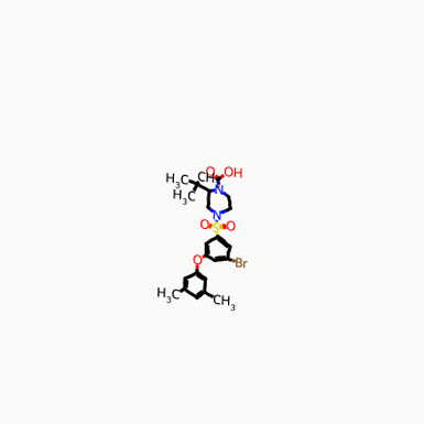 Cc1cc(C)cc(Oc2cc(Br)cc(S(=O)(=O)N3CCN(C(=O)O)C(C(C)(C)C)C3)c2)c1